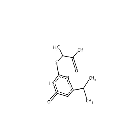 CC(Sc1nc(C(C)C)cc(=O)[nH]1)C(=O)O